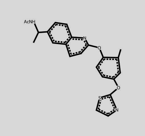 CC(=O)NC(C)c1ccc2nc(Oc3ccc(Oc4nccs4)cc3C)ccc2c1